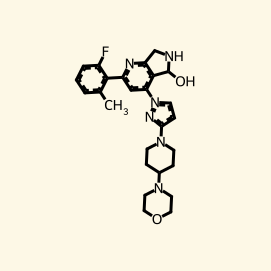 Cc1cccc(F)c1-c1cc(-n2ccc(N3CCC(N4CCOCC4)CC3)n2)c2c(n1)CNC2O